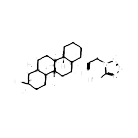 Cc1nnnn1CC(=O)[C@H]1CCC[C@H]2[C@@H]3CC[C@@H]4C[C@](C)(O)CC[C@]4(C)[C@H]3CC[C@]12C